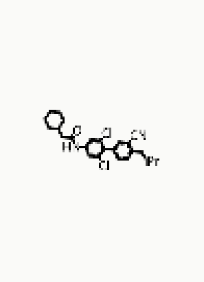 CC(C)Cc1ccc(-c2c(Cl)cc(NC(=O)CC3CCCCC3)cc2Cl)cc1C#N